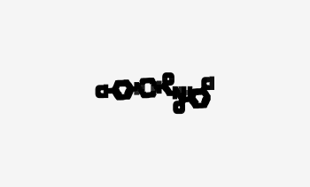 O=C(NCC(=O)N1CCN(c2ccc(Cl)cc2)CC1)c1cccc(Cl)c1